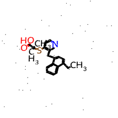 CCc1ccc(Cc2cnccc2SC(C)(C)C(=O)O)c2ccccc12